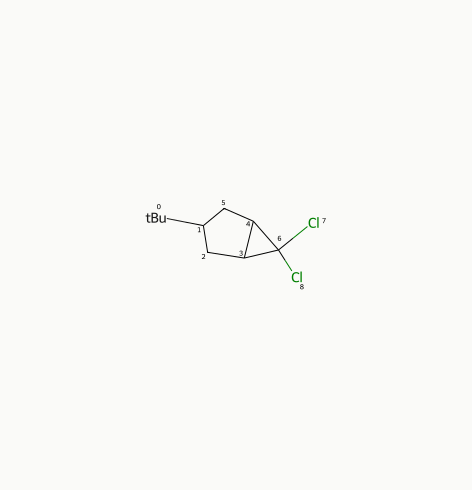 CC(C)(C)C1CC2C(C1)C2(Cl)Cl